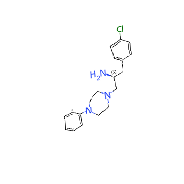 N[C@@H](Cc1ccc(Cl)cc1)CN1CCN(c2[c]cccc2)CC1